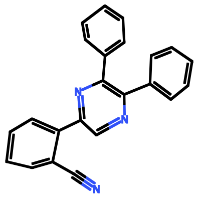 N#Cc1ccccc1-c1cnc(-c2ccccc2)c(-c2ccccc2)n1